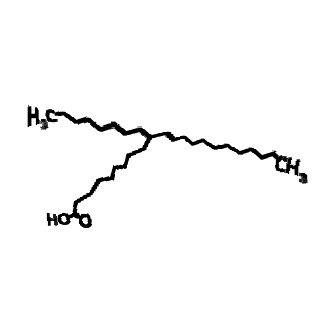 CCCCCCCCCC/C=C/C(CCCCCCCC)CCCCCCCCC(=O)O